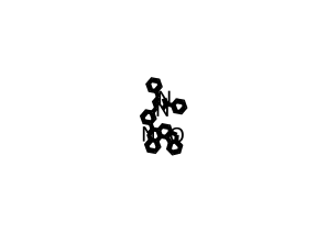 c1ccc(-c2cc(-c3cccc(-c4nc5ccccc5c5c4ccc4oc6ccccc6c45)c3)nc(-c3ccccc3)n2)cc1